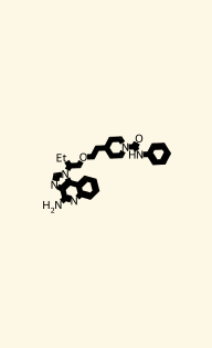 CCC(COCCC1CCN(C(=O)Nc2ccccc2)CC1)n1cnc2c(N)nc3ccccc3c21